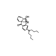 CCCCN(CCCC)c1ccc(C(=O)C2(CC(C)C)C=CC=CC2C(=O)O)c(O)c1